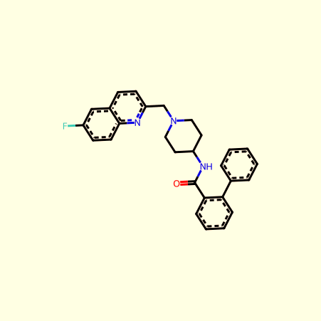 O=C(NC1CCN(Cc2ccc3cc(F)ccc3n2)CC1)c1ccccc1-c1ccccc1